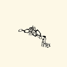 C#C[C@]1(OC(=O)CCCCCC)CC[C@H]2[C@@H]3[C@H](C)CC4=CC(=O)CC[C@]4(OO)[C@H]3CC[C@@]21C